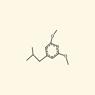 COc1cc(CC(C)C)cc(OC)n1